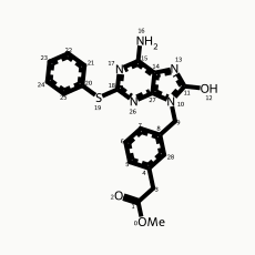 COC(=O)Cc1cccc(Cn2c(O)nc3c(N)nc(Sc4ccccc4)nc32)c1